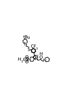 CC(C)(C)C1CCN(CCSc2cc(-c3nn(C[C@@H](O)CN4CCCCC4)c4c3CN(S(C)(=O)=O)CC4)ccc2C(F)(F)F)CC1